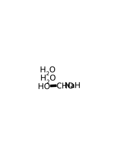 O.O.O=CO.[NaH]